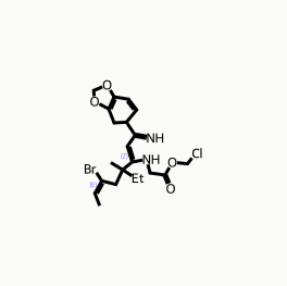 C/C=C(/Br)CC(C)(CC)/C(=C/C(=N)C1C=CC2=C(C1)OCO2)NCC(=O)OCCl